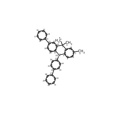 Cc1ccc2c(c1)C(C)(C)c1cc(-c3ccccc3)ccc1N2c1ccc(-c2ccccc2)cc1